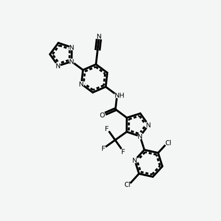 N#Cc1cc(NC(=O)c2cnn(-c3nc(Cl)ccc3Cl)c2C(F)(F)F)cnc1-n1nccn1